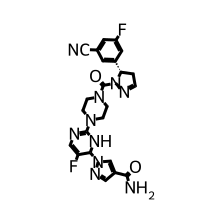 N#Cc1cc(F)cc([C@@H]2CC=NN2C(=O)N2CCN(C3=NC=C(F)C(n4cc(C(N)=O)cn4)N3)CC2)c1